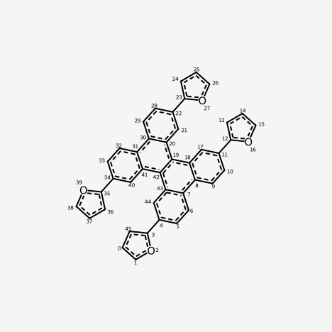 c1coc(-c2ccc3c4ccc(-c5ccco5)cc4c4c5cc(-c6ccco6)ccc5c5ccc(-c6ccco6)cc5c4c3c2)c1